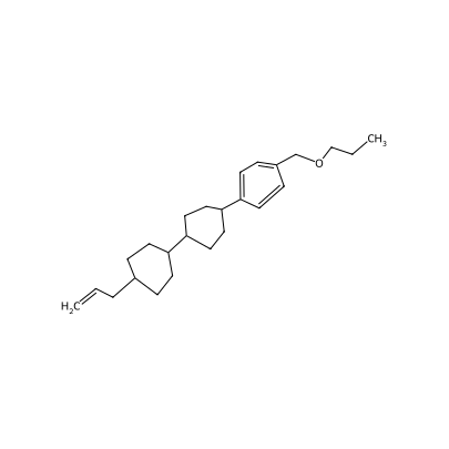 C=CCC1CCC(C2CCC(c3ccc(COCCC)cc3)CC2)CC1